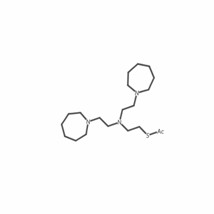 CC(=O)SCCN(CCN1CCCCCC1)CCN1CCCCCC1